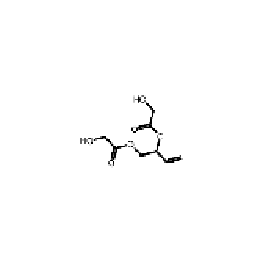 C=CC(COC(=O)CO)OC(=O)CO